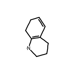 C1=CC2=C(CC1)[N]CCC2